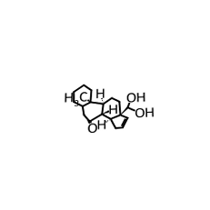 C[C@]12CCCCC1CC(=O)[C@@H]1[C@@H]2CC[C@]2(C(O)O)C=CC[C@@H]12